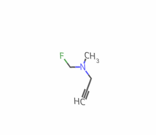 C#CCN(C)CF